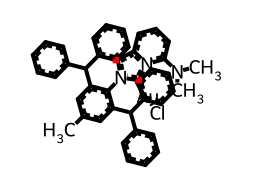 Cc1cc(C(c2ccccc2)c2ccccc2)c(-n2cc3cccc(N(C)C)n3[c]2=[Au][Cl])c(C(c2ccccc2)c2ccccc2)c1